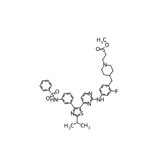 COS(=O)CCN1CCC(Cc2ccc(Nc3nccc(-c4sc(C(C)C)nc4-c4cccc(NS(=O)(=O)c5ccccc5)c4)n3)cc2F)CC1